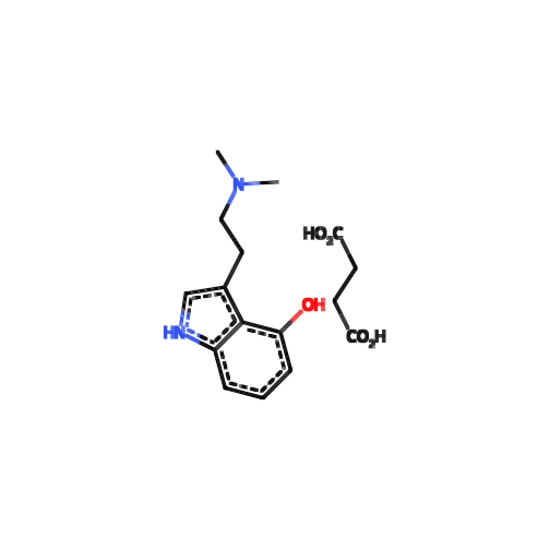 CN(C)CCc1c[nH]c2cccc(O)c12.O=C(O)CCC(=O)O